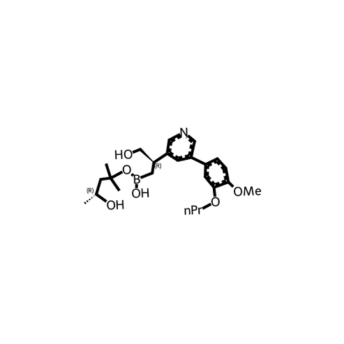 CCCOc1cc(-c2cncc([C@H](CO)CB(O)OC(C)(C)C[C@@H](C)O)c2)ccc1OC